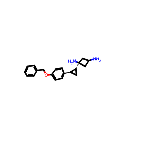 NC1CC(N)([C@@H]2C[C@H]2c2ccc(OCc3ccccc3)cc2)C1